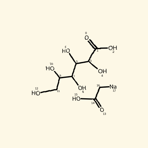 O=C(O)C(O)C(O)C(O)C(O)CO.O=C(O)[CH2][Na]